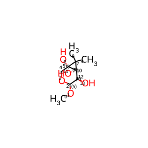 CO[C@H]1OC[C@@]2(O)C(C)(C)[C@@]2(O)[C@H]1O